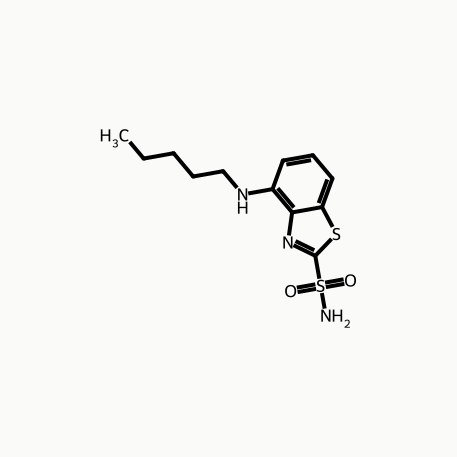 CCCCCNc1cccc2sc(S(N)(=O)=O)nc12